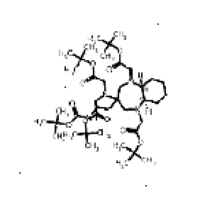 CC(C)(C)OC(=O)CN1CC(CCNC(=O)OC(C)(C)C)(N(CC(=O)OC(C)(C)C)CC(=O)OC(C)(C)C)CN(CC(=O)OC(C)(C)C)[C@@H]2CCCC[C@H]21